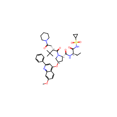 CC[C@@H](NC(=O)[C@@H]1C[C@@H](Oc2cc(-c3ccccc3)nc3cc(OC)ccc23)CN1C(=O)[C@@H](CC(=O)N1CCCCC1)C(C)(C)C)C(=O)NS(=O)(=O)C1CC1